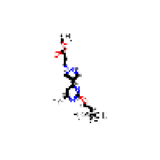 CCOC(=O)CCn1cc(-c2cc(C)nc(OCC[Si](C)(C)C)n2)cn1